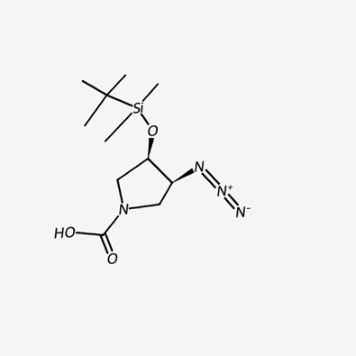 CC(C)(C)[Si](C)(C)O[C@@H]1CN(C(=O)O)C[C@@H]1N=[N+]=[N-]